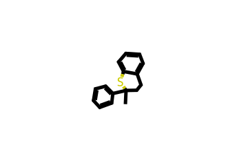 CC1(c2ccccc2)CCc2ccccc2S1